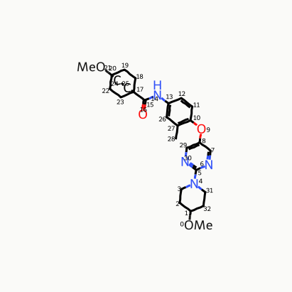 COC1CCN(c2ncc(Oc3ccc(NC(=O)C45CCC(OC)(CC4)CC5)cc3C)cn2)CC1